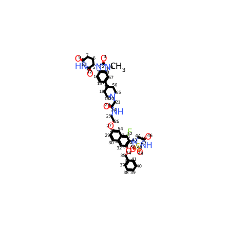 Cn1c(=O)n([C@H]2CCC(=O)NC2=O)c2ccc(C3CCN(CC(=O)NCCOc4ccc5cc(OCc6ccccc6)c(N6CC(=O)NS6(=O)=O)c(F)c5c4)CC3)cc21